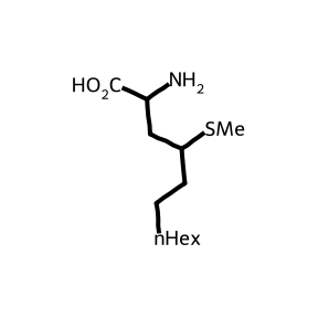 CCCCCCCCC(CC(N)C(=O)O)SC